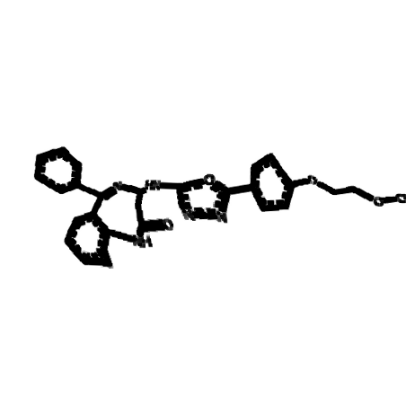 COCCOc1ccc(-c2nnc(NC3N=C(c4ccccc4)c4ccccc4NC3=O)o2)cc1